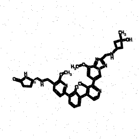 COc1nc(-c2cccc(-c3ccnc(-c4cc(OC)c5nc(CNC6CC(C)(O)C6)nn5c4)c3Cl)c2Cl)ccc1CNC[C@@H]1CCC(=O)N1